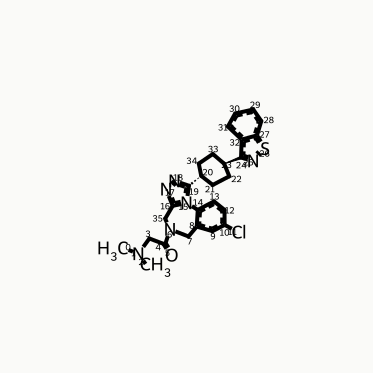 CN(C)CC(=O)N1Cc2cc(Cl)ccc2-n2c(nnc2[C@H]2CC[C@H](c3nsc4ccccc43)CC2)C1